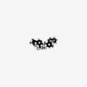 O=C(O)c1c(NSc2ccc(F)cc2/C=C\C2CCCN2)ccc2c1OC[C@@H]1CC21